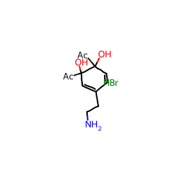 Br.CC(=O)C1(O)C=CC(CCN)=CC1(O)C(C)=O